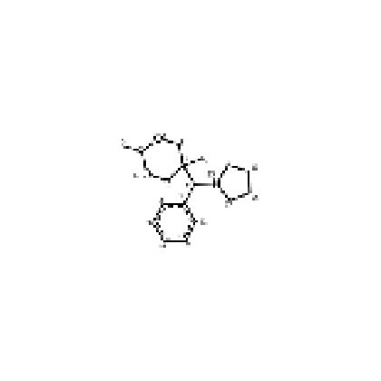 CC1OCC(C)(C(c2ccccc2)N2CCCC2)CO1